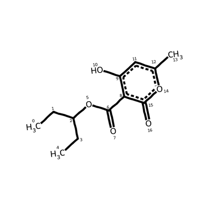 CCC(CC)OC(=O)c1c(O)cc(C)oc1=O